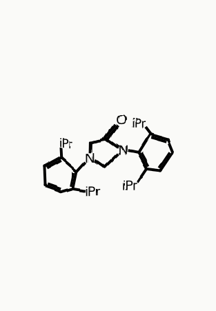 CC(C)c1cccc(C(C)C)c1N1CC(=O)N(c2c(C(C)C)cccc2C(C)C)C1